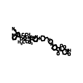 CC1(C)[C@H](NC(=O)c2ccc(N3CCC(CN4CCN(c5ccc6c(c5)C(=O)N(C5CCC(=O)NC5=O)C6=O)CC4)CC3)nn2)C(C)(C)[C@H]1Oc1ccc(C#N)c2ncccc12